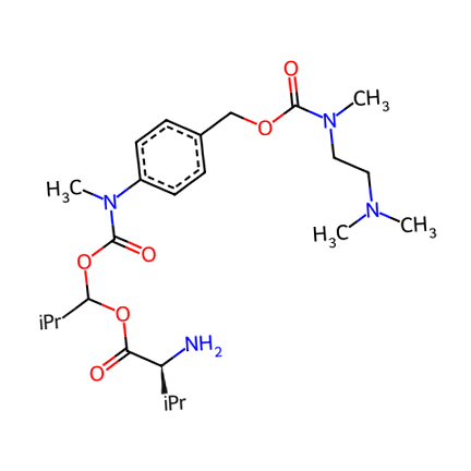 CC(C)C(OC(=O)[C@@H](N)C(C)C)OC(=O)N(C)c1ccc(COC(=O)N(C)CCN(C)C)cc1